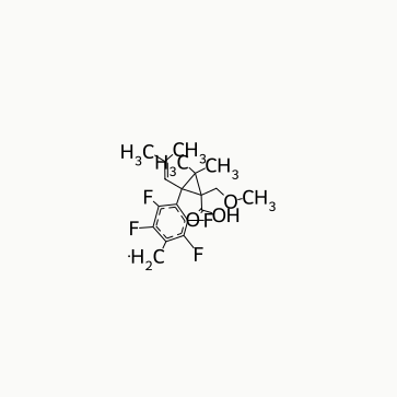 [CH2]c1c(F)c(F)c(C2(C=C(C)C)C(C)(C)C2(COC)C(=O)O)c(F)c1F